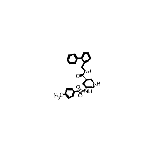 Cc1ccc(S(=O)(=O)N[C@H]2CNC[C@@H](C(=O)NCc3ccccc3-c3ccccc3)C2)cc1